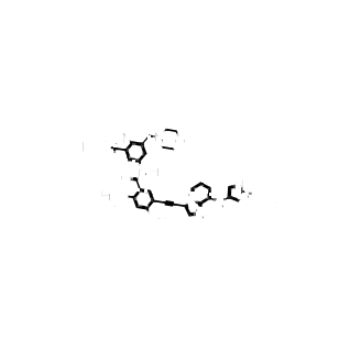 Cc1cc(P)c(C(=O)Nc2cc(CN3CCOCC3)cc(C(C)(C)C#N)c2)cc1C#Cc1cnc2c(Nc3cnn(C)c3)cccn12